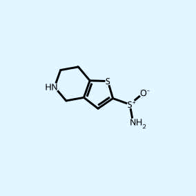 N[S+]([O-])c1cc2c(s1)CCNC2